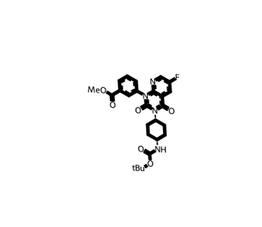 COC(=O)c1cccc(-n2c(=O)n([C@H]3CC[C@@H](NC(=O)OC(C)(C)C)CC3)c(=O)c3cc(F)cnc32)c1